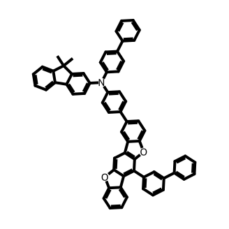 CC1(C)c2ccccc2-c2ccc(N(c3ccc(-c4ccccc4)cc3)c3ccc(-c4ccc5oc6c(-c7cccc(-c8ccccc8)c7)c7c(cc6c5c4)oc4ccccc47)cc3)cc21